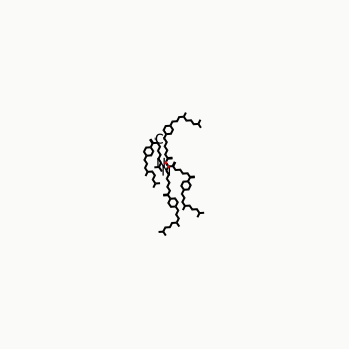 C=C=C(CCCCC(=C)CCN(CCCCCC(=C)C1CCC(CCCC(C)CCCC(C)C)CC1)CC(C)N(CCCCCC(=C)C1CCC(CCCC(C)CCCC(C)C)CC1)CCC(=C)CCCCC(=C)C1CCC(CCCC(C)CCCC(C)C)CC1)C1CCC(CCCC(C)CCCC(C)C)CC1